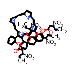 C=CC(CC(=O)Oc1ccccc1C1=CC2=CC3=NC(=CC4=NC(=CC5=NC(=C(c6ccccc6OC(=O)CC(C=C)[N+](=O)[O-])C1=N2)C(c1ccccc1OC(=O)CC(C=C)[N+](=O)[O-])=C5c1ccccc1OC(=O)CC(C=C)[N+](=O)[O-])C=C4)C=C3)[N+](=O)[O-]